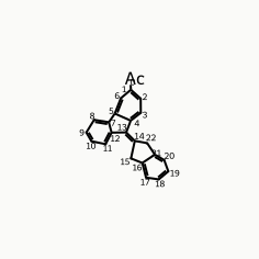 CC(=O)c1ccc2c(c1)-c1ccccc1C2=C1Cc2ccccc2C1